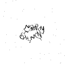 CC1CC(N)CN(c2ccncc2NC(=O)c2ccc3ncc(C4CCOCC4)cc3n2)C1